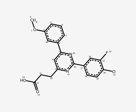 COc1cccc(-c2cc(CCC(=O)O)nc(-c3ccc(Cl)c(F)c3)n2)c1